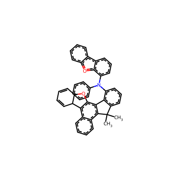 CC1(C)c2cccc(N(c3ccccc3)c3cccc4c3oc3ccccc34)c2-c2c3c(c4ccccc4c21)C1C=CC=CC1O3